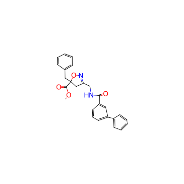 COC(=O)C1(Cc2ccccc2)CC(CNC(=O)c2cccc(-c3ccccc3)c2)=NO1